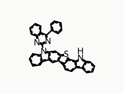 c1ccc(-c2nc(-n3c4ccccc4c4cc5c(cc43)sc3c5ccc4c5ccccc5[nH]c43)nc3ccccc23)cc1